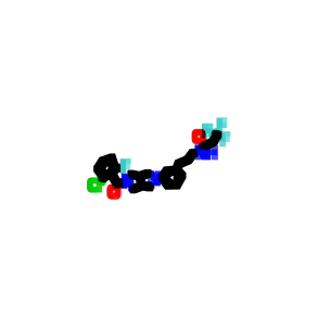 O=C(CC(F)(F)F)NCCCc1cccc(N2CC3CN(C(=O)c4c(F)cccc4Cl)CC3C2)c1